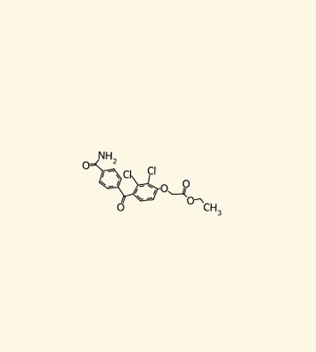 CCOC(=O)COc1ccc(C(=O)c2ccc(C(N)=O)cc2)c(Cl)c1Cl